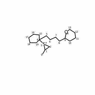 CC1C[S+]1C1(CCCCC2CCCCO2)CCCCC1